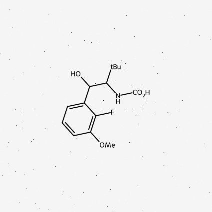 COc1cccc(C(O)C(NC(=O)O)C(C)(C)C)c1F